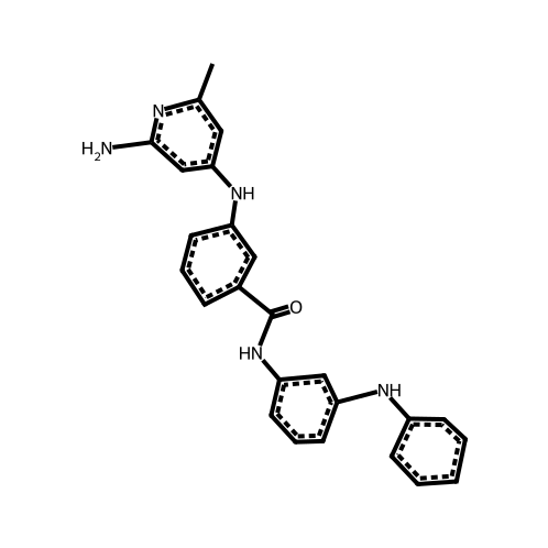 Cc1cc(Nc2cccc(C(=O)Nc3cccc(Nc4ccccc4)c3)c2)cc(N)n1